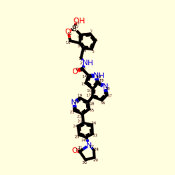 O=C(NCc1cccc2c1COB2O)c1cc2c(-c3cncc(-c4ccc(N5CCCC5=O)cc4)c3)ccnc2[nH]1